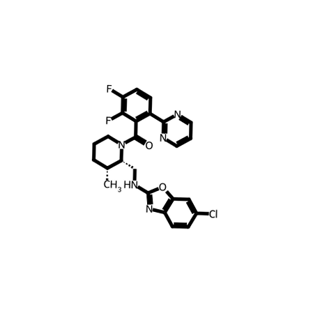 C[C@@H]1CCCN(C(=O)c2c(-c3ncccn3)ccc(F)c2F)[C@@H]1CNc1nc2ccc(Cl)cc2o1